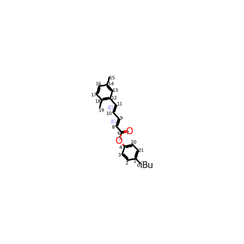 CCC(C)c1ccc(OC(=O)/C=C/C=C/c2cc(C)ccc2C)cc1